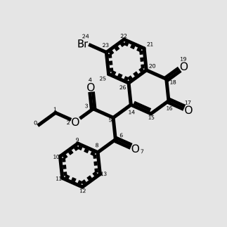 CCOC(=O)C(C(=O)c1ccccc1)C1=CC(=O)C(=O)c2ccc(Br)cc21